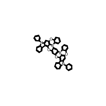 c1ccc(-n2c3ccccc3c3c4c5c(cc32)Oc2ccccc2B5c2cc3c(cc2O4)Oc2c4c(cc5c2c2ccccc2n5-c2ccccc2)Oc2ccccc2B34)cc1